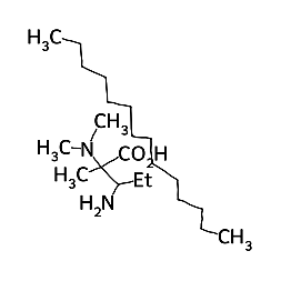 CCC(N)C(C)(C(=O)O)N(C)C.CCCCCCCCCCCCCC